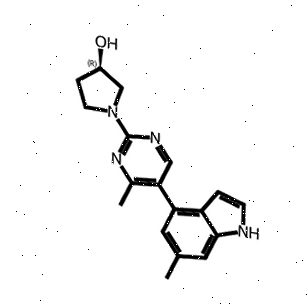 Cc1cc(-c2cnc(N3CC[C@@H](O)C3)nc2C)c2cc[nH]c2c1